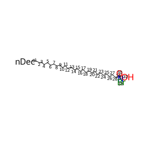 CCCCCCCCCCCCCCCCCCCCCCCCCCCCCCCCCCCCCCC(=O)N(O)Br